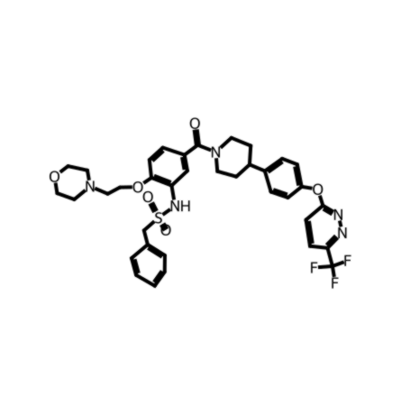 O=C(c1ccc(OCCN2CCOCC2)c(NS(=O)(=O)Cc2ccccc2)c1)N1CCC(c2ccc(Oc3ccc(C(F)(F)F)nn3)cc2)CC1